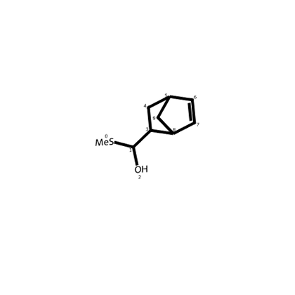 CSC(O)C1CC2C=CC1C2